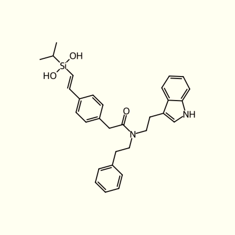 CC(C)[Si](O)(O)C=Cc1ccc(CC(=O)N(CCc2ccccc2)CCc2c[nH]c3ccccc23)cc1